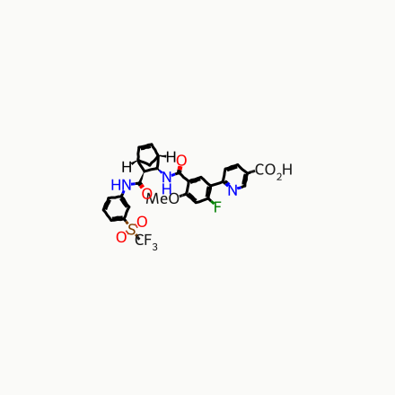 COc1cc(F)c(-c2ccc(C(=O)O)cn2)cc1C(=O)N[C@H]1[C@@H](C(=O)Nc2cccc(S(=O)(=O)C(F)(F)F)c2)[C@@H]2C=C[C@H]1C2